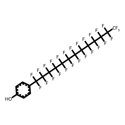 Oc1ccc(C(F)(F)C(F)(F)C(F)(F)C(F)(F)C(F)(F)C(F)(F)C(F)(F)C(F)(F)C(F)(F)C(F)(F)C(F)(F)C(F)(F)C(F)(F)F)cc1